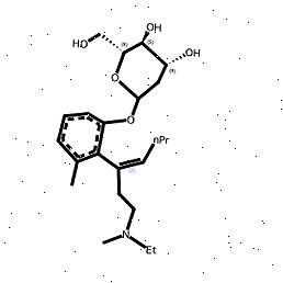 CCC/C=C(/CCN(C)CC)c1c(C)cccc1OC1C[C@@H](O)[C@H](O)[C@@H](CO)O1